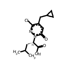 CC(C)C[C@@H](C(=O)O)n1nc(Cl)c(CC2CC2)cc1=O